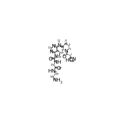 C[C@@H]1CCN(C(=O)CC#N)C[C@@H]1N(C)c1ncnc2c1ccn2C(=O)NCC(=O)NCCN.Cl